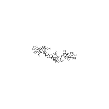 CC(C)=CCCC(C)(OC1OC(COC2OC(CO)C(OC3OC(CO)C(O)C(O)C3O)C(O)C2O)C(O)C(O)C1O)C1CCC2(C)C1C(O)CC1C3(C)CCC(OC4OC(CO)C(O)C(O)C4OC4OC(CO)C(O)C(O)C4O)C(C)(C)C3CCC12C